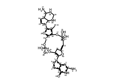 Nc1nc2c(nnn2C2=C3C/C(=C\O[PH](O)(O)Oc4c(oc(N5C=CC6C(N)NCNC65)c4F)CO[PH](O)(S)O3)O2)c(=O)[nH]1